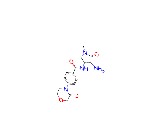 CN1CC(NC(=O)c2ccc(N3CCOCC3=O)cc2)C(N)C1=O